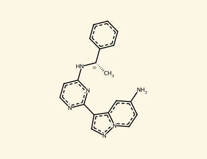 C[C@H](Nc1ccnc(-c2cnn3ccc(N)cc23)n1)c1ccccc1